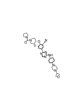 N#Cc1cc(-c2ncnc(Nc3ccc(N4CCN(C5COC5)CC4)cc3)n2)ccc1O[C@H]1CCN(C(=O)N2CCCC2)C[C@@H]1F